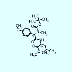 COC(=O)[C@H](CC(C)C)NC(=O)[C@H](c1ccc(OC)cc1)N(C)C(=O)OC(C)(C)C